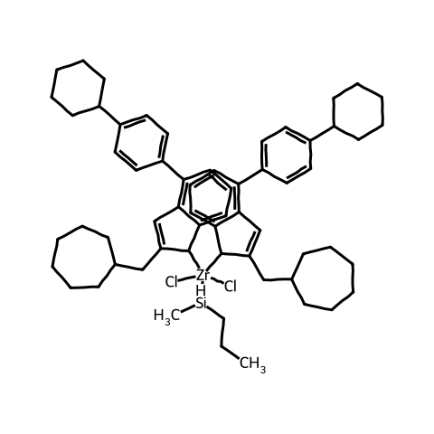 CCC[SiH](C)[Zr]([Cl])([Cl])([CH]1C(CC2CCCCCC2)=Cc2c(-c3ccc(C4CCCCC4)cc3)cccc21)[CH]1C(CC2CCCCCC2)=Cc2c(-c3ccc(C4CCCCC4)cc3)cccc21